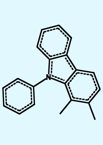 Cc1ccc2c3ccccc3n(-c3ccccc3)c2c1C